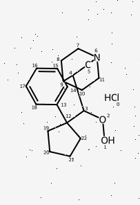 Cl.OOC(C1CN2CCC1CC2)C1(c2ccccc2)CCCC1